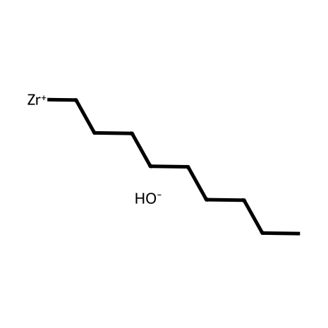 CCCCCCCC[CH2][Zr+].[OH-]